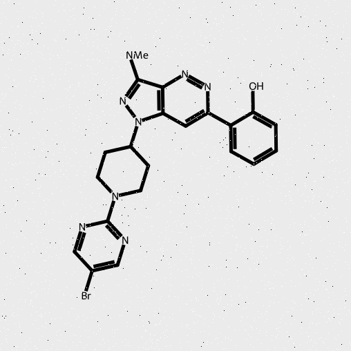 CNc1nn(C2CCN(c3ncc(Br)cn3)CC2)c2cc(-c3ccccc3O)nnc12